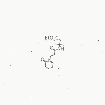 CCOC(=O)CC(C)(C)NC(=O)CCN1CCCCC1=O